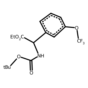 CCOC(=O)C(NC(=O)OC(C)(C)C)c1cccc(OC(F)(F)F)c1